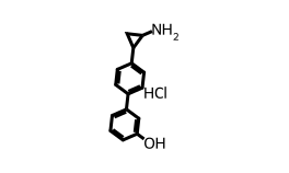 Cl.NC1CC1c1ccc(-c2cccc(O)c2)cc1